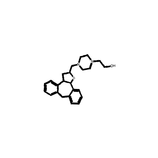 OCCN1CCN(CC2CC3c4ccccc4Cc4ccccc4C3O2)CC1